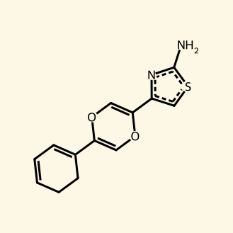 Nc1nc(C2=COC(C3=CC=CCC3)=CO2)cs1